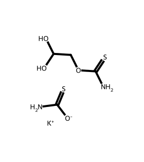 NC(=S)OCC(O)O.NC([O-])=S.[K+]